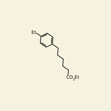 CCOC(=O)CCCCCc1ccc(CC)cc1